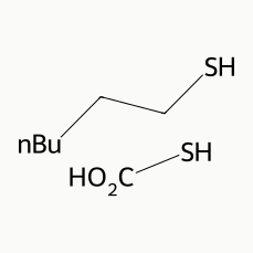 CCCCCCS.O=C(O)S